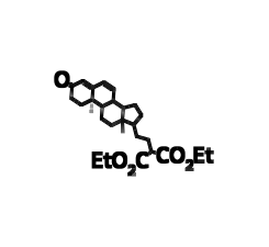 CCOC(=O)C(CCC1CCC2C3C=CC4=CC(=O)CC[C@]4(C)C3CCC12C)C(=O)OCC